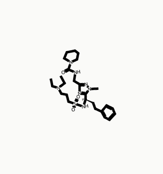 CCN(CC)CCCS(=O)(=O)N[C@H](CCc1ccccc1)c1nc(CNC(=O)N2CCCCC2)nn1C